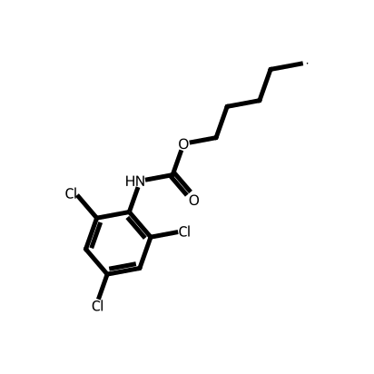 [CH2]CCCCOC(=O)Nc1c(Cl)cc(Cl)cc1Cl